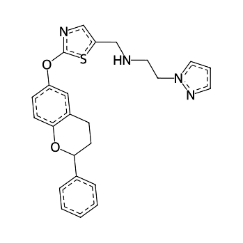 c1ccc(C2CCc3cc(Oc4ncc(CNCCn5cccn5)s4)ccc3O2)cc1